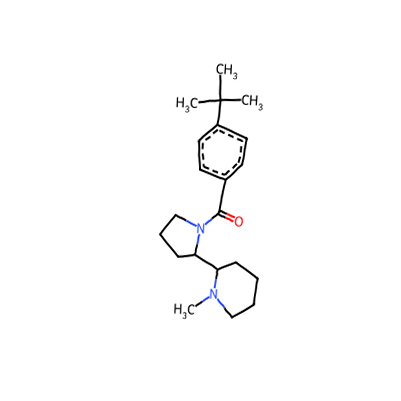 CN1CCCCC1C1CCCN1C(=O)c1ccc(C(C)(C)C)cc1